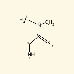 CN(C)C(=S)C[NH]